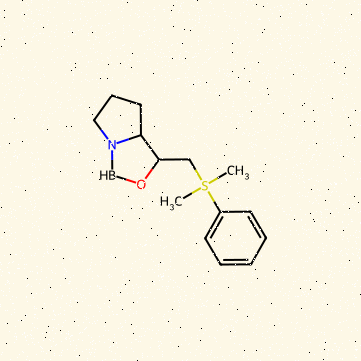 CS(C)(CC1OBN2CCCC12)c1ccccc1